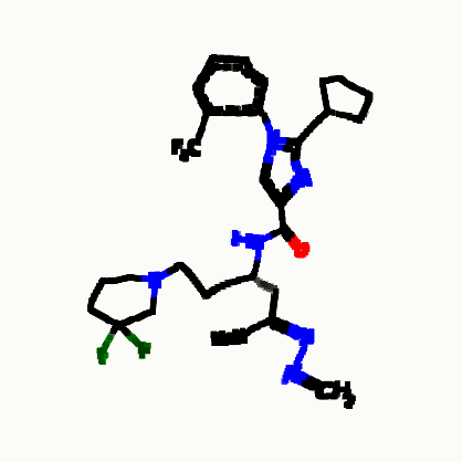 C=N/N=C(/C[C@H](CCN1CCCC(F)(F)C1)NC(=O)c1cn(-c2ccccc2C(F)(F)F)c(C2CCCC2)n1)NC